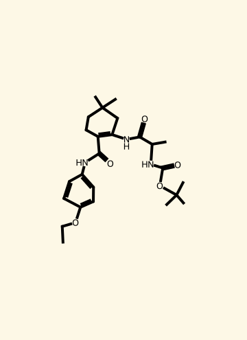 CCOc1ccc(NC(=O)C2=C(NC(=O)C(C)NC(=O)OC(C)(C)C)CC(C)(C)CC2)cc1